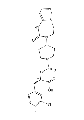 Cc1ccc(C[C@@H](OC(=O)N2CCC(N3CCc4ccccc4NC3=O)CC2)C(=O)O)cc1Cl